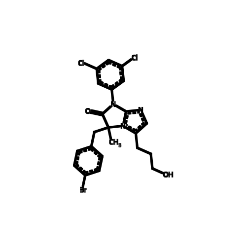 CC1(Cc2ccc(Br)cc2)C(=O)N(c2cc(Cl)cc(Cl)c2)c2ncc(CCCO)n21